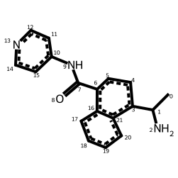 CC(N)c1ccc(C(=O)Nc2ccncc2)c2ccccc12